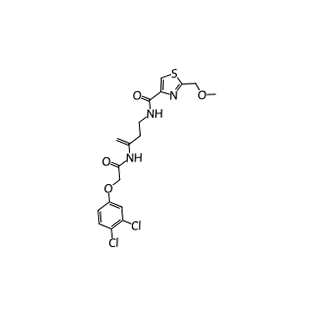 C=C(CCNC(=O)c1csc(COC)n1)NC(=O)COc1ccc(Cl)c(Cl)c1